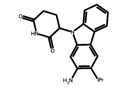 CC(C)c1cc2c3ccccc3n(C3CCC(=O)NC3=O)c2cc1N